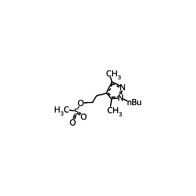 CCCCn1nc(C)c(CCOS(C)(=O)=O)c1C